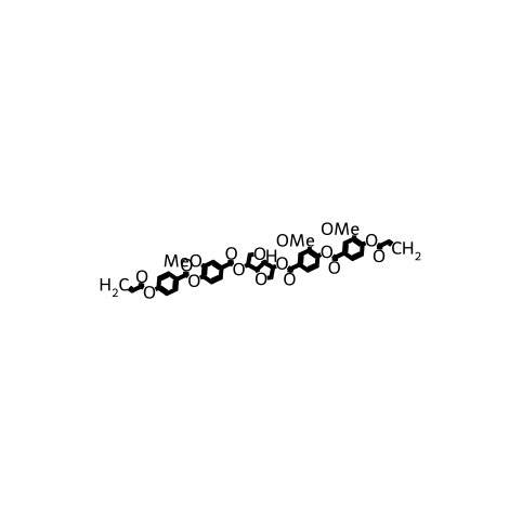 C=CC(=O)Oc1ccc(C(=O)Oc2ccc(C(=O)OC3CO[C@@H]4C(OC(=O)c5ccc(OC(=O)c6ccc(OC(=O)C=C)c(OC)c6)c(OC)c5)COC34)cc2OC)cc1